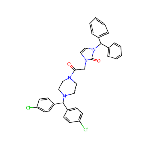 O=C(Cn1ccn(C(c2ccccc2)c2ccccc2)c1=O)N1CCN(C(c2ccc(Cl)cc2)c2ccc(Cl)cc2)CC1